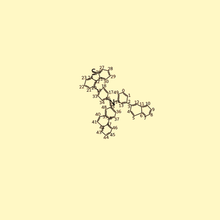 c1cc(-c2ccc3ccccc3c2)cc(N(c2ccc(-c3cccc4sc5ccccc5c34)cc2)c2ccc3c(ccc4ccccc43)c2)c1